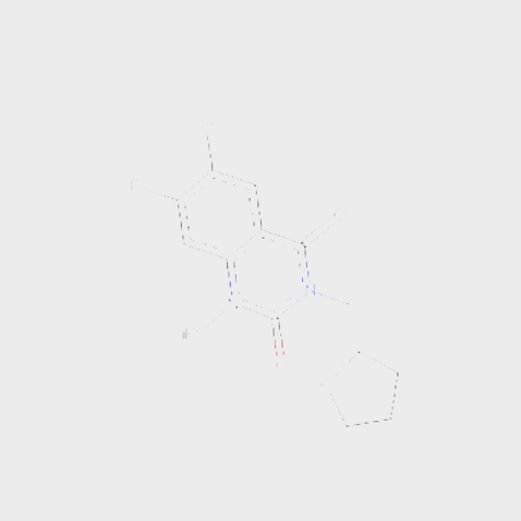 CC(C)n1c(=O)n(C[C@@H]2CCCO2)c(=O)c2cc(Br)c(F)cc21